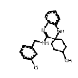 OC1CCC2(CC1)Nc1ccccc1N=C2NCc1cccc(Cl)c1